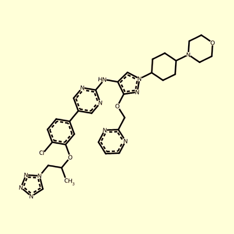 CC(Cn1cnnn1)Oc1cc(-c2cnc(Nc3cn(C4CCC(N5CCOCC5)CC4)nc3OCc3ncccn3)nc2)ccc1Cl